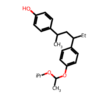 CCC(CC(C)c1ccc(O)cc1)c1ccc(OC(C)OC(C)C)cc1